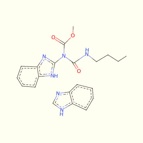 CCCCNC(=O)N(C(=O)OC)c1nc2ccccc2[nH]1.c1ccc2[nH]cnc2c1